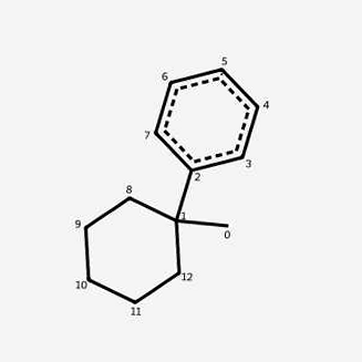 CC1(c2cc[c]cc2)CCCCC1